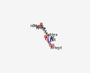 CCCCCCCC(=O)OCCN(CCOC(=O)OC(CCCCCC)CCCCCCCCC(=O)OCC(CCCC)CCCCCC)CCN(CC)CC